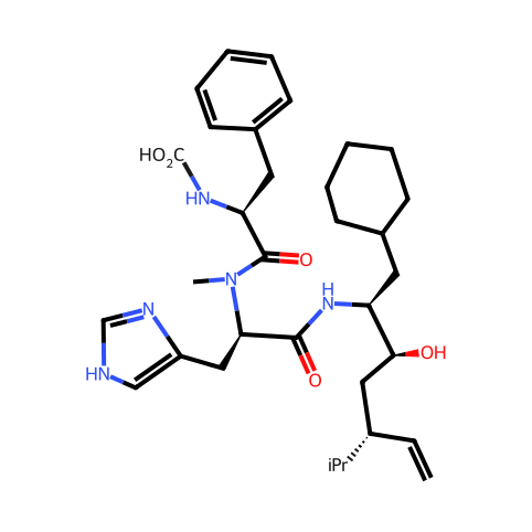 C=C[C@@H](C[C@H](O)[C@H](CC1CCCCC1)NC(=O)[C@@H](Cc1c[nH]cn1)N(C)C(=O)[C@H](Cc1ccccc1)NC(=O)O)C(C)C